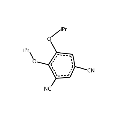 CC(C)Oc1cc(C#N)cc(C#N)c1OC(C)C